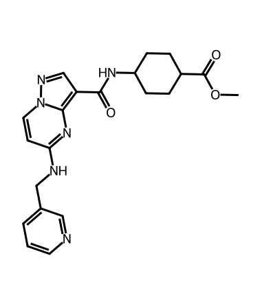 COC(=O)C1CCC(NC(=O)c2cnn3ccc(NCc4cccnc4)nc23)CC1